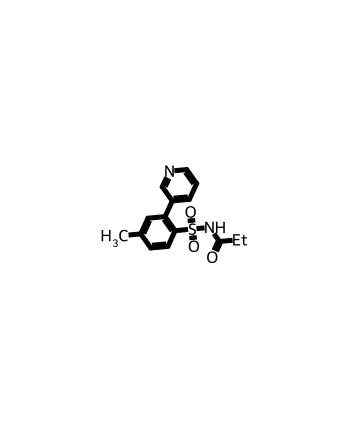 CCC(=O)NS(=O)(=O)c1ccc(C)cc1-c1cccnc1